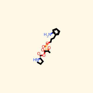 CC(O[PH](=O)OCCCc1ccccc1N)C(=O)OC(=O)[C@@H]1CCCN1